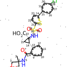 CC(C)(CO)NC(=O)c1ccccc1[C@@H]1C[C@]1(NS(=O)(=O)c1ccc(-c2ccc(Cl)cc2)s1)C(=O)O